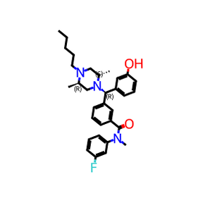 CCCCCN1C[C@H](C)N([C@@H](c2cccc(O)c2)c2cccc(C(=O)N(C)c3cccc(F)c3)c2)C[C@H]1C